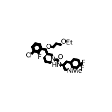 CCOCCCO[C@@H](c1cccc(Cl)c1F)[C@@H]1CCCN(C(=O)NC(CNC)CC2CCC(F)(F)CC2)C1